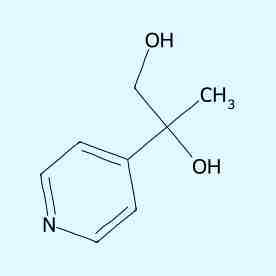 CC(O)(CO)c1ccncc1